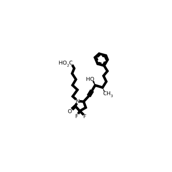 C[C@@H](CCCc1ccccc1)[C@H](O)C#CC1CC(F)(F)C(=O)N1CCCCCCC(=O)O